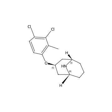 Cc1c(O[C@@H]2C[C@H]3CCC[C@@H](C2)N3)ccc(Cl)c1Cl